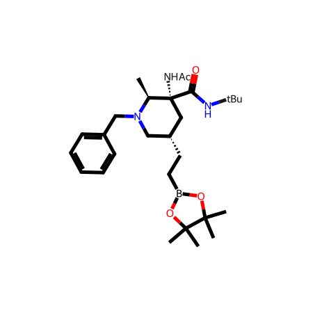 CC(=O)N[C@]1(C(=O)NC(C)(C)C)C[C@H](CCB2OC(C)(C)C(C)(C)O2)CN(Cc2ccccc2)[C@H]1C